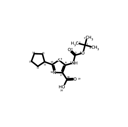 CC(C)(C)OC(=O)Nc1sc(C2CCCC2)nc1C(=O)O